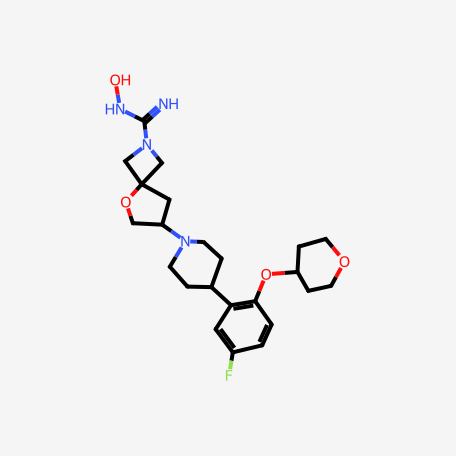 N=C(NO)N1CC2(CC(N3CCC(c4cc(F)ccc4OC4CCOCC4)CC3)CO2)C1